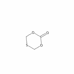 O=C1OCSCO1